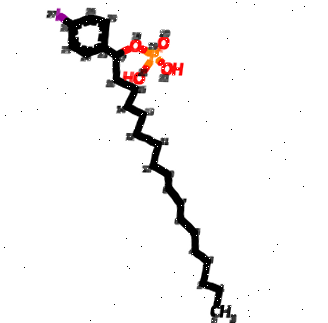 CCCCCCCCCCCCCCCCCC(OP(=O)(O)O)c1ccc(I)cc1